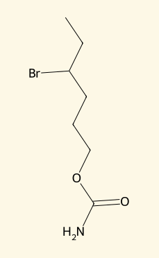 CCC(Br)CCCOC(N)=O